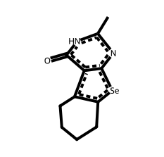 Cc1nc2[se]c3c(c2c(=O)[nH]1)CCCC3